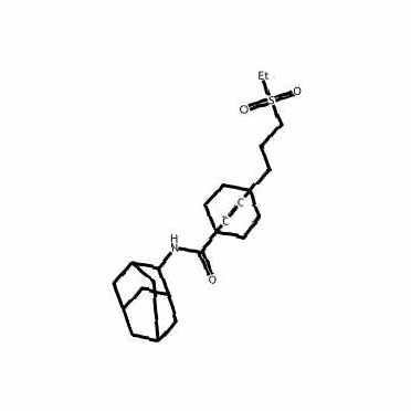 CCS(=O)(=O)CCCC12CCC(C(=O)NC3C4CC5CC(C4)CC3C5)(CC1)CC2